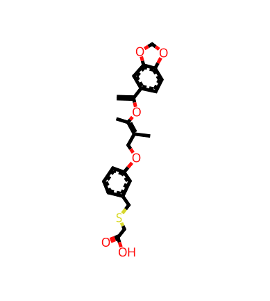 C=C(O/C(C)=C(\C)COc1cccc(CSCC(=O)O)c1)c1ccc2c(c1)OCO2